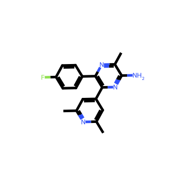 Cc1cc(-c2nc(N)c(C)nc2-c2ccc(F)cc2)cc(C)n1